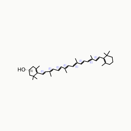 CC1=C(/C=C/C(C)=C/C=C/C(C)=C/C=C(C)/C=C/C=C(C)/C=C/C2=C(C)C[C@@H](O)CC2(C)C)C(C)(C)CCC1